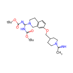 CC(=N)N1CCC(COc2ccc3c(c2)CN(/C(=N/C(=O)OC(C)(C)C)NC(=O)OC(C)(C)C)CC3)CC1